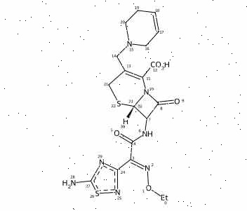 CCON=C(C(=O)NC1C(=O)N2C(C(=O)O)=C(CN3CC=CCC3)CS[C@@H]12)c1nsc(N)n1